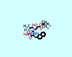 CC(C)CN(CC(O)C(=O)OC(C)(C)C)C(=O)N[C@@H](Cc1ccc2ccccc2c1)C(=O)NO